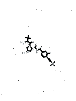 C[C@H](NC(=O)[C@@H]1C[C@@H](O)CN1C(=O)[C@@H](N)C(C)(C)C)c1ccc(C#C[Si](C)(C)C)c(F)c1